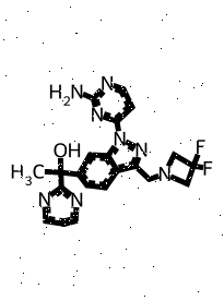 CC(O)(c1ccc2c(CN3CC(F)(F)C3)nn(-c3ccnc(N)n3)c2c1)c1ncccn1